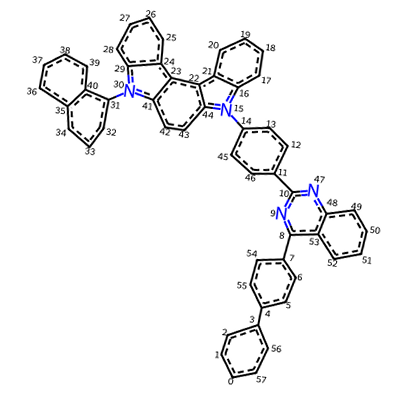 c1ccc(-c2ccc(-c3nc(-c4ccc(-n5c6ccccc6c6c7c8ccccc8n(-c8cccc9ccccc89)c7ccc65)cc4)nc4ccccc34)cc2)cc1